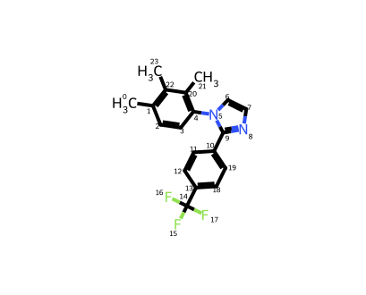 Cc1ccc(-n2ccnc2-c2ccc(C(F)(F)F)cc2)c(C)c1C